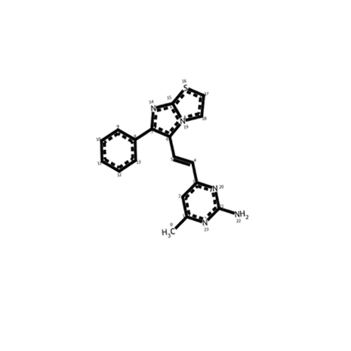 Cc1cc(C=Cc2c(-c3ccccc3)nc3sccn23)nc(N)n1